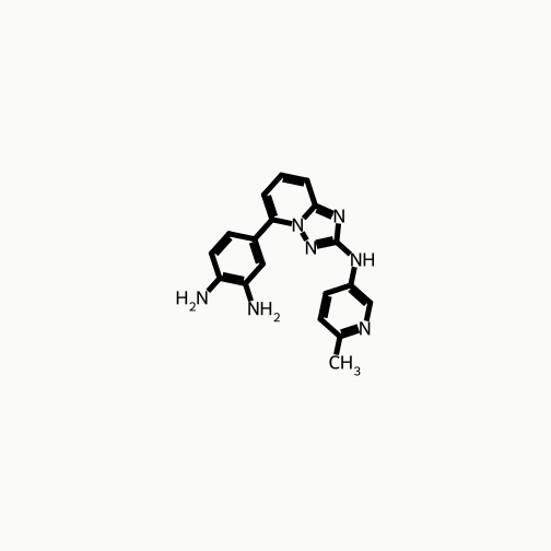 Cc1ccc(Nc2nc3cccc(-c4ccc(N)c(N)c4)n3n2)cn1